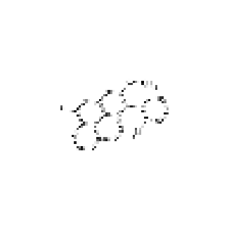 COc1cc2cc(F)c3cccc4ccc(c1-c1ccccc1N)c2c43